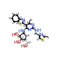 Cc1nc(CNc2nc(C)c(-c3nc4ccccc4s3)c(N[C@@H]3C[C@H](CO)[C@@H](O)[C@H]3O)n2)cs1